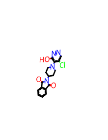 O=C1c2ccccc2C(=O)N1C1CCN(c2c(Cl)cnnc2O)CC1